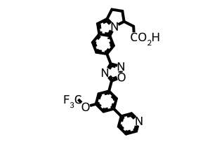 O=C(O)CC1CCc2cc3ccc(-c4noc(-c5cc(OC(F)(F)F)cc(-c6cccnc6)c5)n4)cc3n21